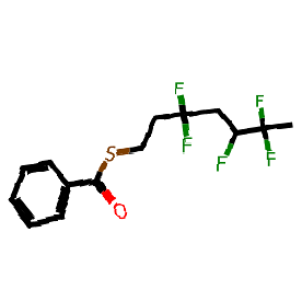 CC(F)(F)C(F)CC(F)(F)CCSC(=O)c1ccccc1